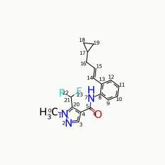 Cn1ncc(C(=O)Nc2ccccc2/C=C/CC2CC2)c1C(F)F